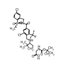 CCS(=O)(=O)c1ccc(Cl)cc1CNC(=O)c1cc(Cl)c(CNC(CC[C@H](NC(=O)OC(C)(C)C)C(=O)O)C(C)(C)C)c(C(F)(F)F)c1